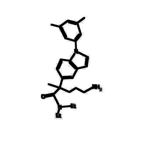 CCN(CC)C(=O)C(C)(CCCN)c1ccc2c(ccn2-c2cc(C)cc(C)c2)c1